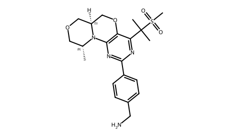 C[C@@H]1COC[C@H]2COc3c(nc(-c4ccc(CN)cc4)nc3C(C)(C)S(C)(=O)=O)N21